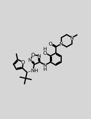 Cc1ccc([C@H](Nc2nonc2Nc2cccc(C(=O)N3CCN(C)CC3)c2O)C(C)(C)C)o1